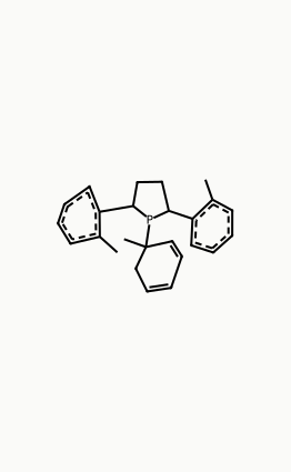 Cc1ccccc1C1CCC(c2ccccc2C)P1C1(C)C=CC=CC1